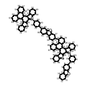 c1cc(-c2ccc3c(c2)oc2ccccc23)cc(-n2c3ccccc3c3c4c5cccc(-c6ccc7c(c6)oc6cc(-c8ccc(-n9c%10ccccc%10c%10c%11c%12ccccc%12c%12ccccc%12c%11c%11c%12ccccc%12sc%11c%109)cc8)ccc67)c5c5ccccc5c4c4c5ccccc5sc4c32)c1